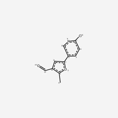 Cc1oc(-c2ccc(Cl)nc2)cc1C=O